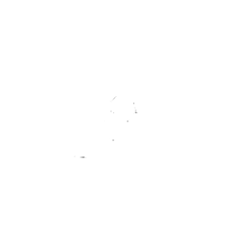 C=CCO[C@@H]1C[C@H](C(=O)OC)N(C(=O)OC(C)(C)C)C1